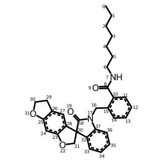 CCCCCCCNC(=O)c1ccccc1CN1C(=O)C2(COc3cc4c(cc32)CCO4)c2ccccc21